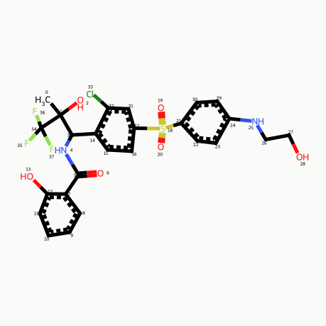 CC(O)(C(NC(=O)c1ccccc1O)c1ccc(S(=O)(=O)c2ccc(NCCO)cc2)cc1Cl)C(F)(F)F